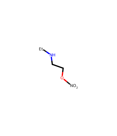 CCNCCO[N+](=O)[O-]